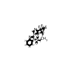 CCS(=O)(=O)n1c(-n2cnc(C(F)(C(F)(F)F)C(F)(F)F)c2)nc2ccccc21